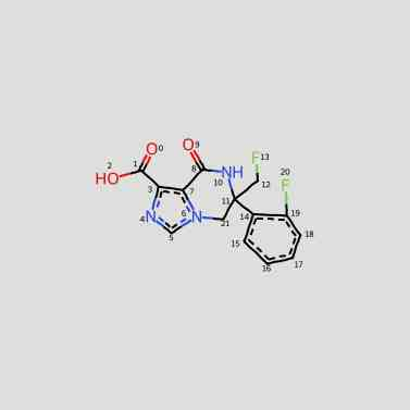 O=C(O)c1ncn2c1C(=O)NC(CF)(c1ccccc1F)C2